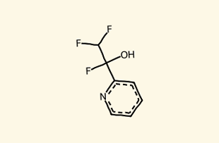 OC(F)(c1ccccn1)C(F)F